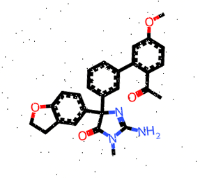 COc1ccc(C(C)=O)c(-c2cccc(C3(c4ccc5c(c4)CCO5)N=C(N)N(C)C3=O)c2)c1